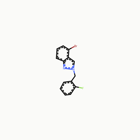 Fc1ccccc1Cn1cc2c(Br)cccc2n1